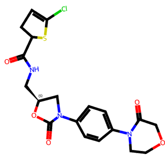 O=C(NC[C@H]1CN(c2ccc(N3CCOCC3=O)cc2)C(=O)O1)C1CC=C(Cl)S1